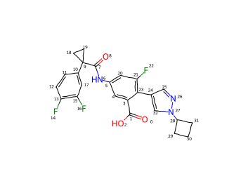 O=C(O)c1cc(NC(=O)C2(c3ccc(F)c(F)c3)CC2)cc(F)c1-c1cnn(C2CCC2)c1